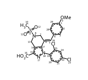 COc1ccc(C=C2CN(S(C)(=O)=O)Cc3c(C(=O)O)nn(-c4ccc(Cl)cc4Cl)c32)cc1